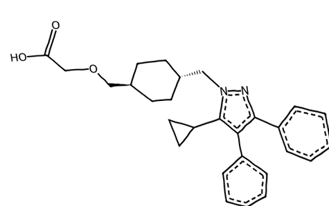 O=C(O)COC[C@H]1CC[C@H](Cn2nc(-c3ccccc3)c(-c3ccccc3)c2C2CC2)CC1